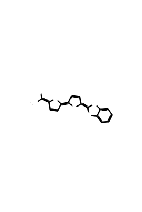 N#CC(C#N)=c1ccc(=c2ccc(=C3Sc4ccccc4S3)s2)s1